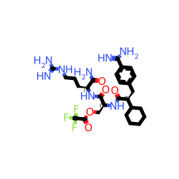 N=C(N)NCCC[C@H](NC(=O)[C@H](COC(=O)C(F)(F)F)NC(=O)[C@@H](Cc1ccc(C(=N)N)cc1)C1CCCCC1)C(N)=O